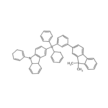 CC1(C)c2ccccc2-c2ccc(-c3cccc([Si](c4ccccc4)(c4ccc5c(c4)C4C=CC=CC4N5C4=CCCC=C4)C4C=CC=CC4)c3)cc21